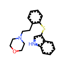 c1ccc(Sc2c[nH]c3ccccc23)c(CCN2CCOCC2)c1